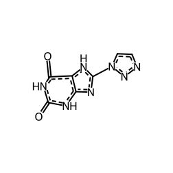 O=c1[nH]c(=O)c2[nH]c(-n3ccnn3)nc2[nH]1